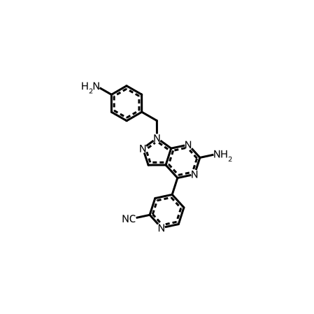 N#Cc1cc(-c2nc(N)nc3c2cnn3Cc2ccc(N)cc2)ccn1